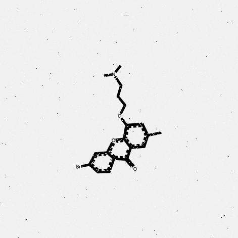 Cc1cc(OCCCN(C)C)c2oc3cc(Br)ccc3c(=O)c2c1